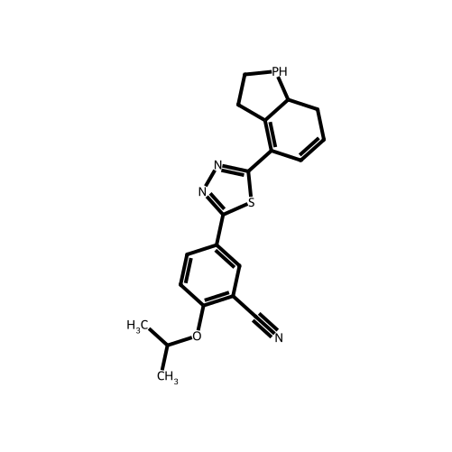 CC(C)Oc1ccc(-c2nnc(C3=C4CCPC4CC=C3)s2)cc1C#N